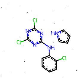 Clc1nc(Cl)nc(Nc2ccccc2Cl)n1.c1cc[nH]c1